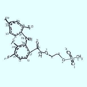 CS(=O)(=O)OCCONC(=O)c1ccc(F)c(F)c1Nc1ccc(I)cc1F